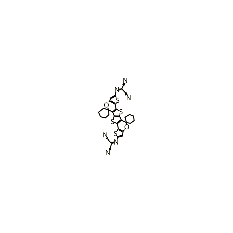 N#CC(C#N)=Nc1cc2c(s1)-c1sc3c4c(sc3c1C1(CCCCC1)O2)-c1sc(N=C(C#N)C#N)cc1OC41CCCCC1